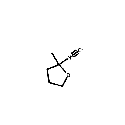 [C-]#[N+]C1(C)CCCO1